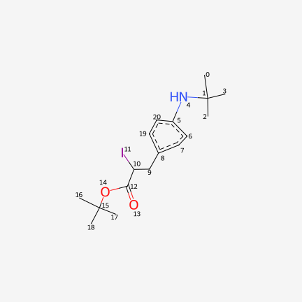 CC(C)(C)Nc1ccc(CC(I)C(=O)OC(C)(C)C)cc1